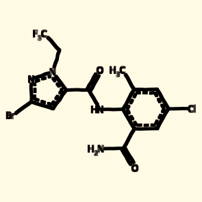 Cc1cc(Cl)cc(C(N)=O)c1NC(=O)c1cc(Br)nn1CC(F)(F)F